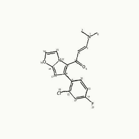 CN(C)C=CC(=O)c1c(-c2ccc(F)cc2Cl)nc2occn12